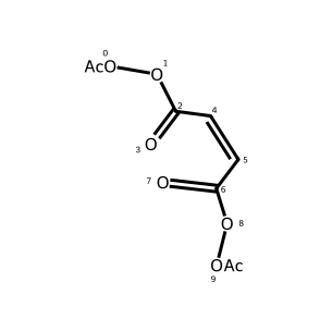 CC(=O)OOC(=O)/C=C\C(=O)OOC(C)=O